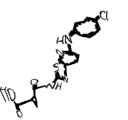 O=C(O)C1CC1C(=O)Nc1nc2ccc(Nc3ccc(Cl)cc3)nc2s1